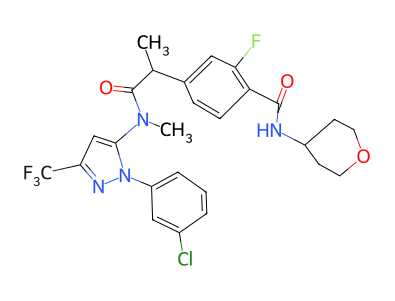 CC(C(=O)N(C)c1cc(C(F)(F)F)nn1-c1cccc(Cl)c1)c1ccc(C(=O)NC2CCOCC2)c(F)c1